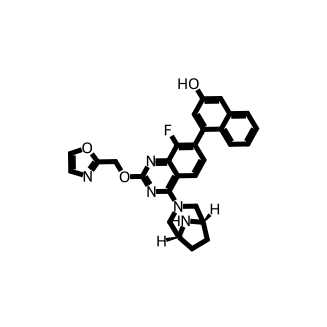 Oc1cc(-c2ccc3c(N4C[C@H]5CC[C@@H](C4)N5)nc(OCc4ncco4)nc3c2F)c2ccccc2c1